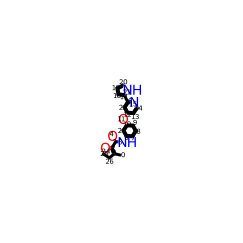 CC1=C(C(=O)Nc2cccc(Oc3ccnc(-c4ccc[nH]4)c3)c2)OCC1